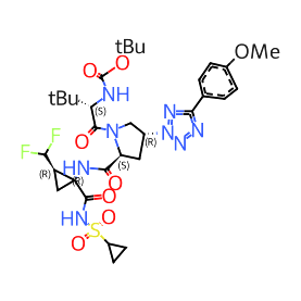 COc1ccc(-c2nnn([C@@H]3C[C@@H](C(=O)N[C@]4(C(=O)NS(=O)(=O)C5CC5)C[C@H]4C(F)F)N(C(=O)[C@@H](NC(=O)OC(C)(C)C)C(C)(C)C)C3)n2)cc1